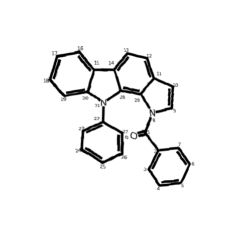 O=C(c1ccccc1)n1ccc2ccc3c4ccccc4n(-c4ccccc4)c3c21